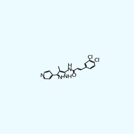 Cc1c(-c2ccncc2)n[nH]c1NC(=O)C=Cc1ccc(Cl)c(Cl)c1